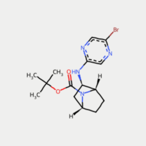 CC(C)(C)OC(=O)N1[C@@H]2CC[C@H]1[C@H](Nc1cnc(Br)cn1)C2